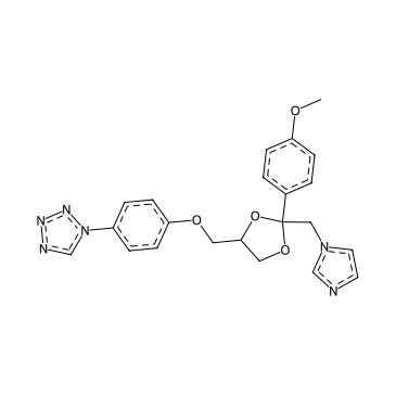 COc1ccc(C2(Cn3ccnc3)OCC(COc3ccc(-n4cnnn4)cc3)O2)cc1